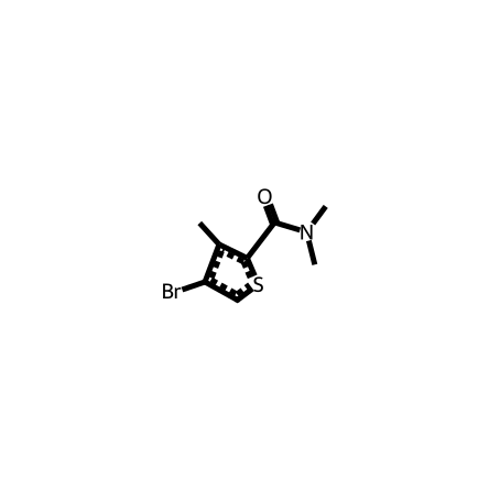 Cc1c(Br)csc1C(=O)N(C)C